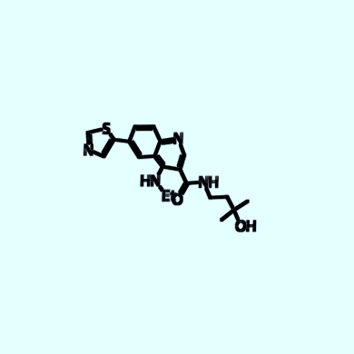 CCNc1c(C(=O)NCCC(C)(C)O)cnc2ccc(-c3cncs3)cc12